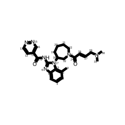 Cc1cccc2nc(NC(=O)c3ccnnc3)n(C3CCCCN(C(=O)/C=C/CN(C)C)C3)c12